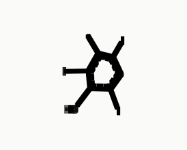 Cc1c(I)cc(I)c(O)c1I